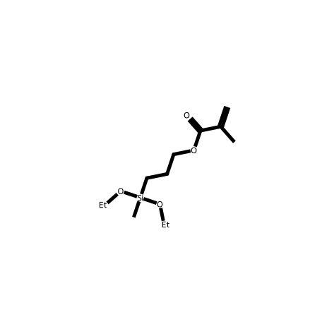 C=C(C)C(=O)OCCC[Si](C)(OCC)OCC